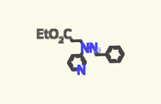 CCOC(=O)CCN(/N=C/c1ccccc1)c1cccnc1